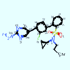 N#CCCN(C1CC1)S(=O)(=O)c1ccccc1-c1ccc(-c2cnc(N)nc2)c(F)c1